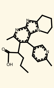 CCCC(C(=O)O)c1c(C)nc2nc3n(c2c1-c1ccc(C)nc1)CCCC3